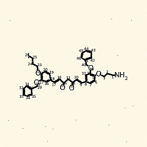 NCCCOc1ccc(/C=C/C(=O)CC(=O)/C=C/c2ccc(OCCCI)c(OCc3ccccc3)c2)cc1OCc1ccccc1